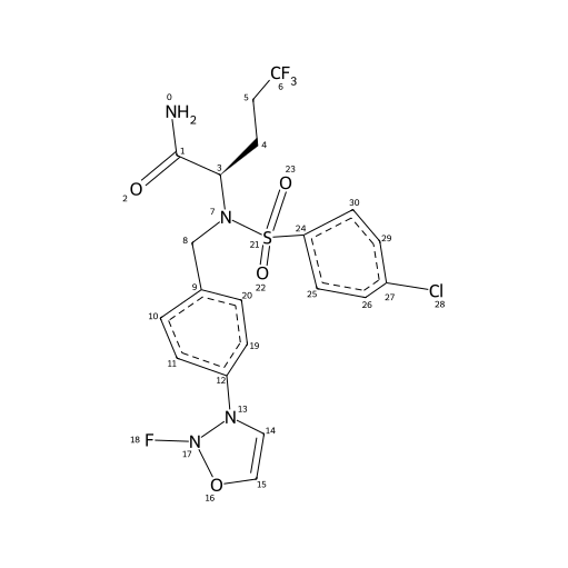 NC(=O)[C@@H](CCC(F)(F)F)N(Cc1ccc(N2C=CON2F)cc1)S(=O)(=O)c1ccc(Cl)cc1